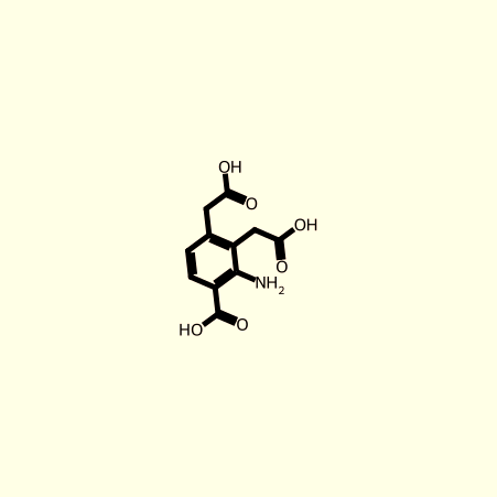 Nc1c(C(=O)O)ccc(CC(=O)O)c1CC(=O)O